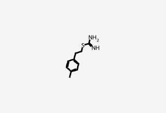 Cc1ccc(CCSC(=N)N)cc1